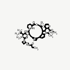 C=CC(=O)NC[C@@H]1CCN1C(=O)N(C)C(C(=O)N[C@H]1Cc2nc(cs2)-c2ccc3c(c2)c(c(-c2cccnc2[C@H](C)OC)n3CC)CC(C)(C)COC(=O)[C@@H]2CCCN(N2)C1=O)C(C)C